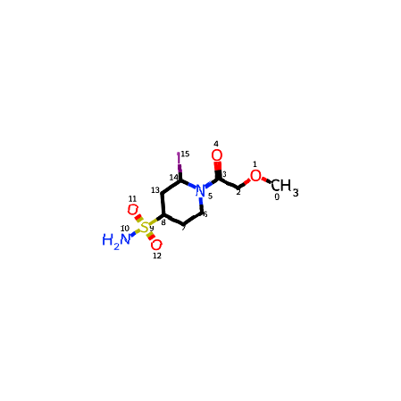 COCC(=O)N1CCC(S(N)(=O)=O)CC1I